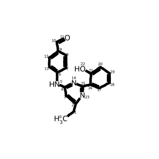 CCc1cc(Nc2ccc(C=O)cc2)nc(-c2ccccc2O)n1